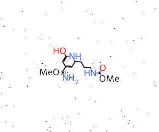 COC(=O)NCCCC1C=C([C@H](N)OC)C=C(O)N1